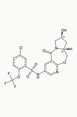 O=C1c2cc(NS(=O)(=O)c3cc(Cl)ccc3OC(F)(F)F)cnc2OC[C@H]2C[C@H](O)CN12